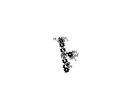 Bc1cc(C[C@@H](OC(=O)N2CCC(N3CCc4ccccc4NC3=O)CC2)C(=O)N2CCN(C3CCN(S(=O)(=O)N(C)C)CC3)CC2)cc(B)c1O